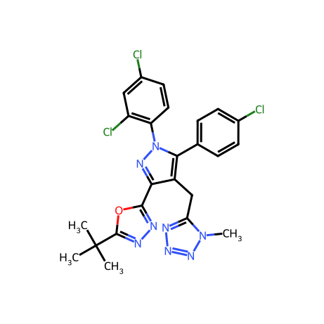 Cn1nnnc1Cc1c(-c2nnc(C(C)(C)C)o2)nn(-c2ccc(Cl)cc2Cl)c1-c1ccc(Cl)cc1